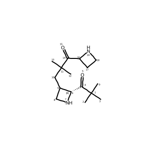 CC(C)(C)C(=O)[C@@H]1NCC1CC(C)(C)C(=O)C1CCN1